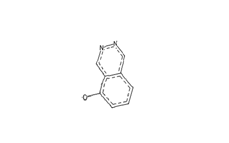 [O]c1cccc2cnncc12